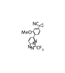 COc1cc(C2(C#N)CC2)ccc1-c1ccc2nnc(C(F)(F)F)n2n1